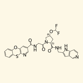 O=C(NCC(=O)N1C[C@H](OC(F)F)C[C@H]1C(=O)NCc1cc2cnccc2[nH]1)c1cnc2c(c1)Oc1ccccc1S2